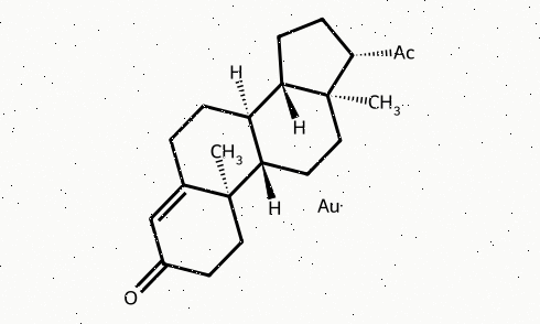 CC(=O)[C@H]1CC[C@H]2[C@@H]3CCC4=CC(=O)CC[C@]4(C)[C@H]3CC[C@]12C.[Au]